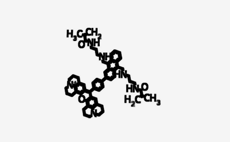 C=C(C)C(=O)NCCCNCc1c2ccccc2c(CNCCCNC(=O)C(=C)C)c2cc(-c3ccc(C4=c5cc6c7c(c5Oc5c4cc4c8c5CCCN8CCC4)CCC[N+]=7CCC6)cc3)ccc12